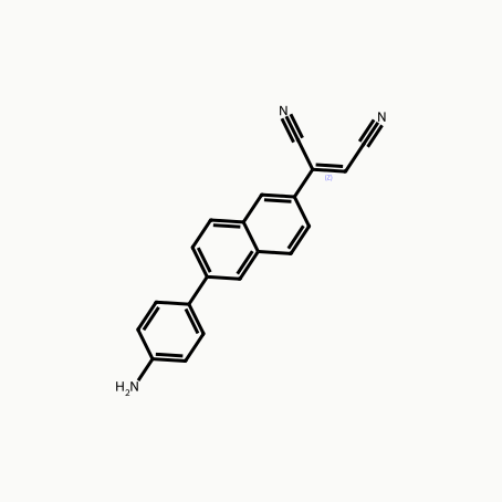 N#C/C=C(\C#N)c1ccc2cc(-c3ccc(N)cc3)ccc2c1